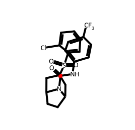 O=C(Nc1ccc(C(F)(F)F)cc1)N1C2CCC1CC(S(=O)(=O)c1ccccc1Cl)C2